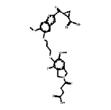 COc1cc2sc(C(=O)C3CC3C(=O)O)cc2cc1OCCCOc1c(OC)cc2c(c1F)CN(C(=O)CCC(=O)O)C2